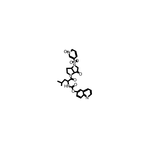 CC(C)CC(NC(=O)Oc1ccc2ncccc2c1)C(=O)N1CCC2C1C(=O)CN2S(=O)(=O)c1ccc[n+]([O-])c1